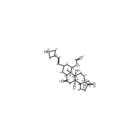 C[C@]12C(OC=O)CC(C=CC3CNC3)CC1C(=O)C[C@@H]1[C@H]2CC[C@]2(C)C(=O)CC[C@@H]12